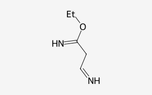 CCOC(=N)CC=N